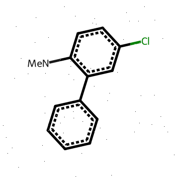 CNc1ccc(Cl)cc1-c1ccccc1